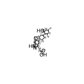 Cc1cc(C)c(-c2ccc(-c3cc4c(CCC(=O)O)n[nH]c4cc3Cl)cc2)c(O)c1